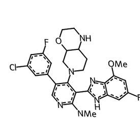 CNc1ncc(-c2cc(F)cc(Cl)c2)c(N2CCC3NCCOC3C2)c1-c1nc2c(OC)cc(F)cc2[nH]1